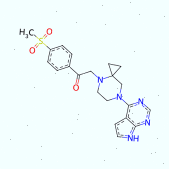 CS(=O)(=O)c1ccc(C(=O)CN2CCN(c3ncnc4[nH]ccc34)CC23CC3)cc1